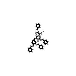 O=C(N[C@@H](Cc1ccc(OCc2ccccc2)c(OCc2ccccc2)c1)C(=O)N[C@@H](CO)C(=O)OCc1ccccc1)OCc1ccccc1